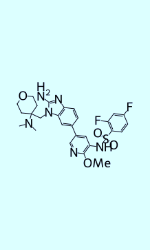 COc1ncc(-c2ccc3nc(N)n(CC4(N(C)C)CCOCC4)c3c2)cc1NS(=O)(=O)c1ccc(F)cc1F